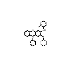 Cc1ncccc1Nc1cc2nc3ccccc3n(-c3ccccc3)c-2c/c1=N\C1CCCCC1